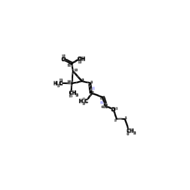 CCCO/N=C/C(C)=C/C1C(C(=O)O)C1(C)C